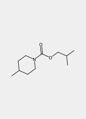 CC(C)COC(=O)N1CCC(C)CC1